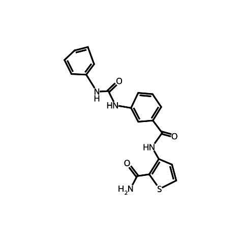 NC(=O)c1sccc1NC(=O)c1cccc(NC(=O)Nc2ccccc2)c1